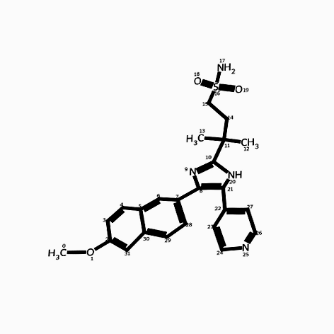 COc1ccc2cc(-c3nc(C(C)(C)CCS(N)(=O)=O)[nH]c3-c3ccncc3)ccc2c1